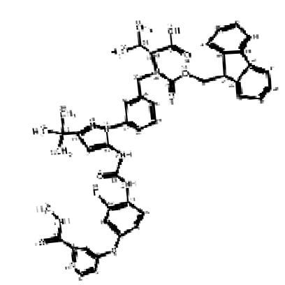 CNC(=O)c1cc(Oc2ccc(NC(=O)Nc3cc(C(C)(C)C)nn3-c3cccc(CN(C(=O)OCC4c5ccccc5-c5ccccc54)[C@H](C(=O)O)C(C)C)c3)c(F)c2)ccn1